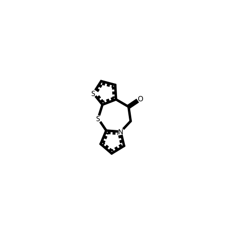 O=C1Cn2cccc2Sc2sccc21